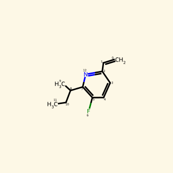 C=Cc1ccc(F)c(C(C)CC)n1